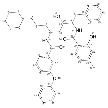 O=C(NC(CCCC1CCCCC1)C[C@H](O)C(Cc1ccccc1)NC(=O)c1ccc(F)cc1O)c1cccc(Oc2ccccc2)c1